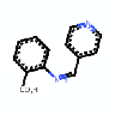 O=C(O)c1ccccc1/N=C\c1ccncc1